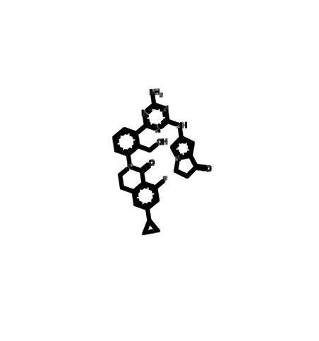 Nc1nc(Nc2cc3n(c2)CCC3=O)nc(-c2cccc(N3CCc4cc(C5CC5)cc(F)c4C3=O)c2CO)n1